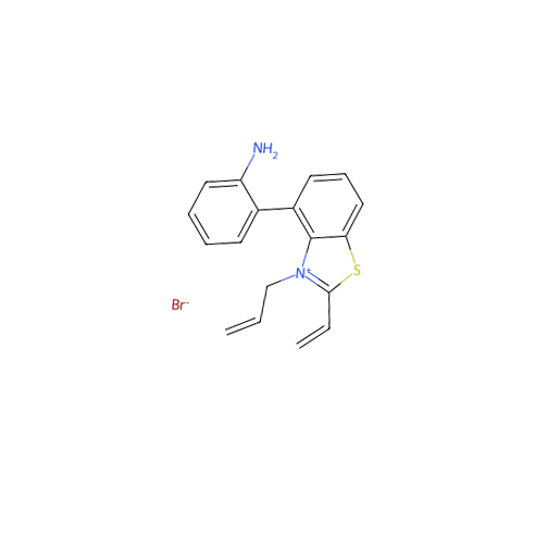 C=CC[n+]1c(C=C)sc2cccc(-c3ccccc3N)c21.[Br-]